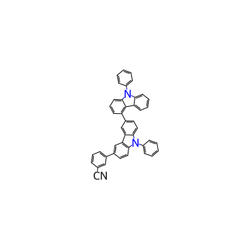 N#Cc1cccc(-c2ccc3c(c2)c2cc(-c4cccc5c4c4ccccc4n5-c4ccccc4)ccc2n3-c2ccccc2)c1